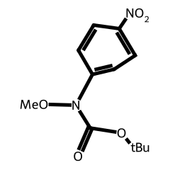 CON(C(=O)OC(C)(C)C)c1ccc([N+](=O)[O-])cc1